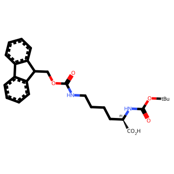 CC(C)(C)OC(=O)N[C@H](CCCCNC(=O)OCC1c2ccccc2-c2ccccc21)C(=O)O